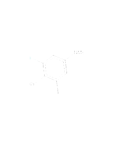 CNc1cc(C)c(C(C)C)c(F)c1